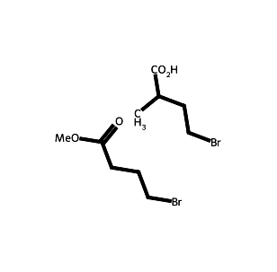 CC(CCBr)C(=O)O.COC(=O)CCCBr